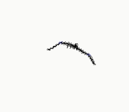 CCCCCCCC/C=C\CCCCCCCCNC(=S)NCCCCCCCC/C=C\CCCCCCCC